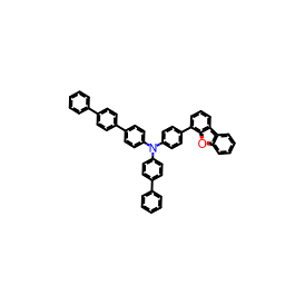 c1ccc(-c2ccc(-c3ccc(N(c4ccc(-c5ccccc5)cc4)c4ccc(-c5cccc6c5oc5ccccc56)cc4)cc3)cc2)cc1